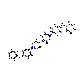 C1=CN(c2ccc(Cc3ccccc3)cc2)CC=C1c1cc[n+](-c2ccc(Cc3ccccc3)cc2)cc1